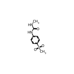 CNC(=O)Nc1ccc(S(C)(=O)=O)cc1